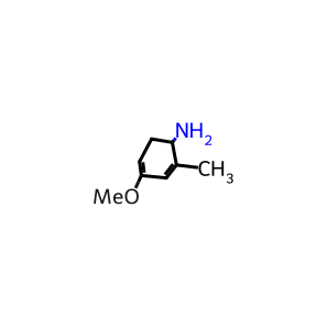 COC1=CCC(N)C(C)=C1